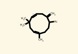 C=C1C/C=C\C(C)(C)C/C=C(/C)CCC1C(C)=O